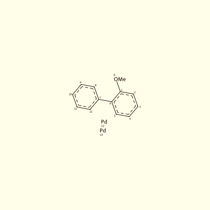 COc1ccccc1-c1ccccc1.[Pd].[Pd]